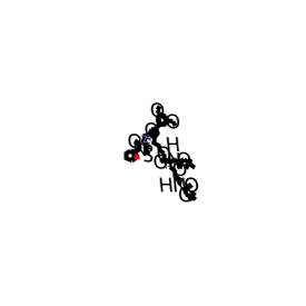 COc1cc(OC)cc(-c2cc(CCCOC(=O)[C@H](CCCCNC(=O)OC(C)(C)C)NC(=O)OC(C)(C)C)c(/C=C3\SC(=S)N(C4CC5CCC4C5)C3=O)o2)c1